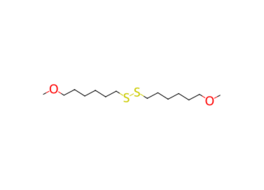 COCCCCCCSSCCCCCCOC